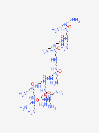 NCCCN(CCCN)C(=O)NCCCN(CCCN)C(=O)NCCCN(CCCN)C(=O)NCCCNCCCNC(=O)N(CCCN)CCCNC(=O)N(CCCNC(=O)N(CCCN)CCCNC(=O)N(CCCN)CCCN)CCCNC(=O)N(CCCN)CCCNC(=O)N(CCCN)CCCN